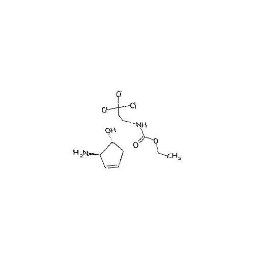 CCOC(=O)NCC(Cl)(Cl)Cl.N[C@@H]1C=CC[C@H]1O